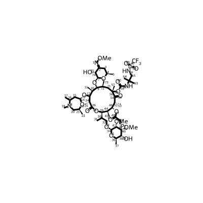 CON=C1C[C@@H](C)O[C@@H](O[C@@H]2[C@H](C)C(O[C@H]3CC(C)N(C)C[C@H](C)O3)[C@@H](C)C(=O)O[C@H](C(C)CO[C@@H]3O[C@H](C)[C@@H](O)[C@@H](OC)[C@H]3OC)[C@H](C)[C@@H](OC(=O)CC(C)C)[C@@H](C)C(=O)[C@@](C)(OC(=O)NC(C)(C)CNS(=O)(=O)C(F)(F)F)C[C@@H]2C)[C@@H]1O